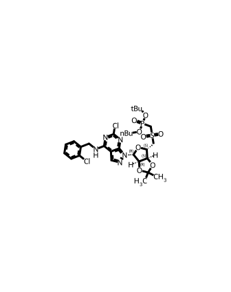 CCCCOP(=O)(CS(=O)(=O)C[C@H]1O[C@@H](n2ncc3c(NCc4ccccc4Cl)nc(Cl)nc32)[C@@H]2OC(C)(C)O[C@@H]21)OC(C)(C)C